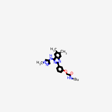 Cc1cc2nc(-c3cccc(OCC(=O)NC(C)(C)C)c3)nc(Nc3cnn(C)c3)c2cc1C